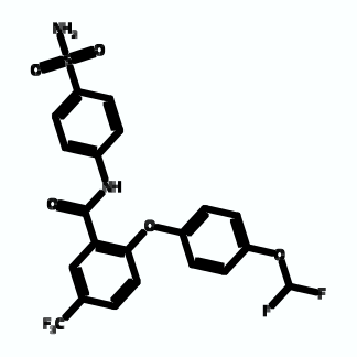 NS(=O)(=O)c1ccc(NC(=O)c2cc(C(F)(F)F)ccc2Oc2ccc(OC(F)F)cc2)cc1